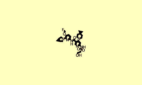 O=C(Nc1ccc(OCF)c(N2CC3CC3C2)n1)c1cnc(NS(=O)(=O)CCO)cc1N1CCC2(CC1)CC2